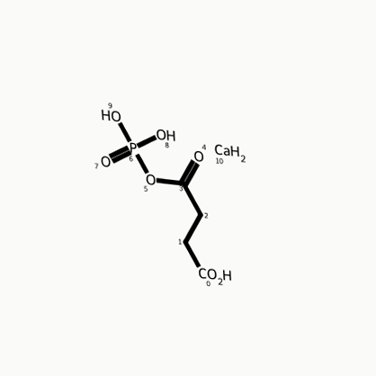 O=C(O)CCC(=O)OP(=O)(O)O.[CaH2]